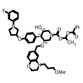 COCCCN1CCOc2ccc(CO[C@H]3CN(C(=O)OC(C)OC(=O)C(C)C)C[C@@H](O)[C@@H]3c3ccc(OC4CCN(c5cccc(F)c5)C4)cc3)cc21